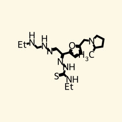 CCNCN/N=C/C(=N/NC(=S)NCC)c1ccc(CN2CCCC2C)o1